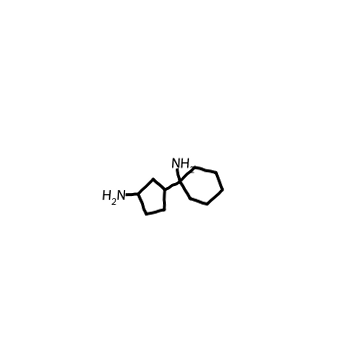 NC1CCC(C2(N)CCCCC2)C1